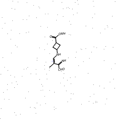 COC(=O)C1CC(N/C=C(/I)C(=N)C=O)C1